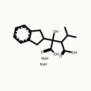 CC(C)C(C(=O)O)C(O)(C(=O)O)C1Cc2ccccc2C1.[NaH].[NaH]